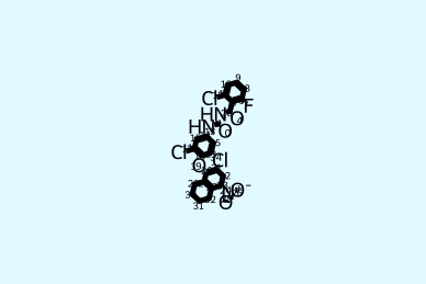 O=C(NC(=O)c1c(F)cccc1Cl)Nc1cc(Cl)c(OC2=CCC([N+](=O)[O-])C3=C2CCCC3)c(Cl)c1